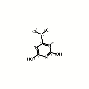 Oc1nc(O)nc(N(Cl)Cl)n1